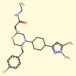 CCNC(=O)C[C@H]1CN(C2CCC(c3cc(C)n(C)n3)CC2)[C@@H](Cc2ccc(Cl)cc2)CO1